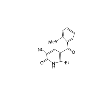 CCc1[nH]c(=O)c(C#N)cc1C(=O)c1ccccc1SC